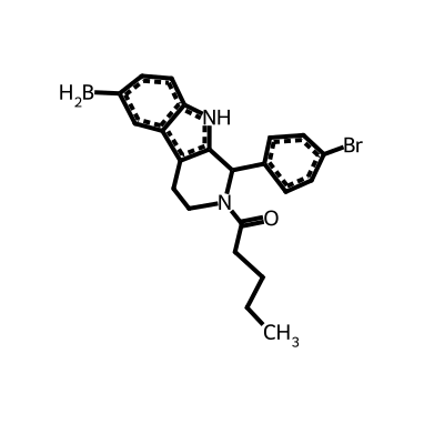 Bc1ccc2[nH]c3c(c2c1)CCN(C(=O)CCCC)C3c1ccc(Br)cc1